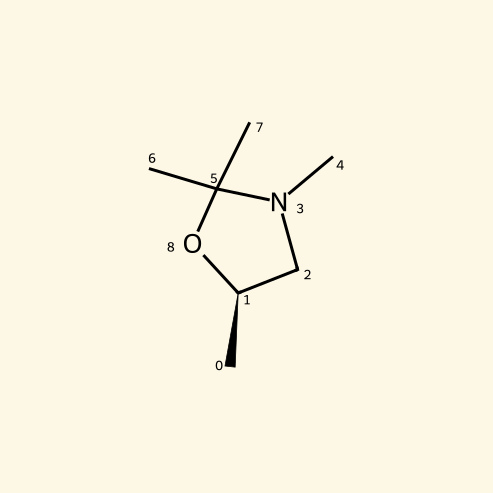 C[C@@H]1CN(C)C(C)(C)O1